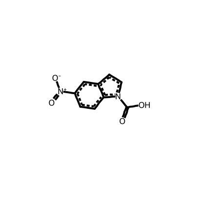 O=C(O)n1ccc2cc([N+](=O)[O-])ccc21